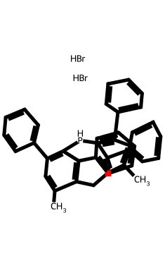 Br.Br.Cc1cc(-c2ccccc2)c2c(-c3ccccc3)c1Cc1c(C)cc(-c3ccccc3)c(c1-c1ccccc1)P2